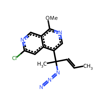 CC=CC(C)(N=[N+]=[N-])c1cnc(OC)c2cnc(Cl)cc12